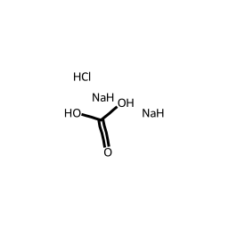 Cl.O=C(O)O.[NaH].[NaH]